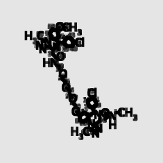 CCNC(=O)C[C@H]1N=C(c2ccc(Cl)cc2)c2cc(OCCOCCOCCOCCNC(=O)C[C@@H]3N=C(c4ccc(Cl)cc4)c4cc(OC)ccc4-n4c(C)nnc43)ccc2-n2c(C)nnc21